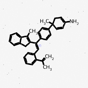 C=C(C)c1ccccc1/C=C(\C1=C(C)c2ccccc2C1)c1ccc(C2(C)C=CC(N)=CC2)cc1